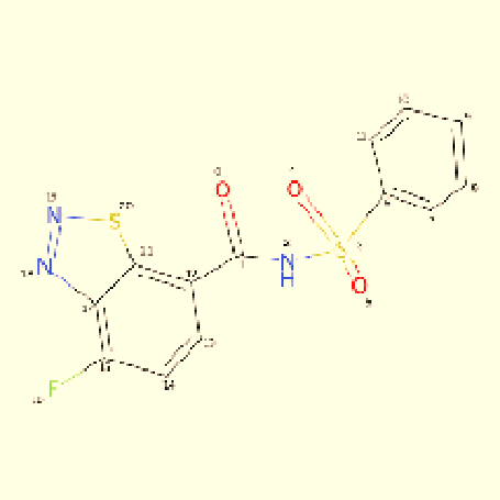 O=C(NS(=O)(=O)c1ccccc1)c1ccc(F)c2nnsc12